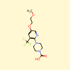 COCCOc1cnc(N2CCN(C(=O)O)CC2)c(C(F)(F)F)c1